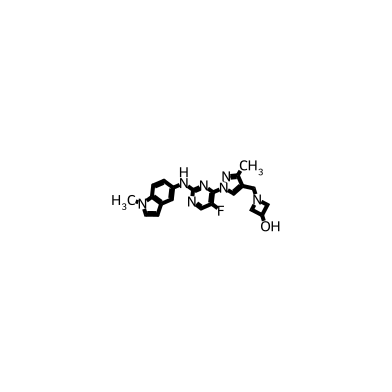 Cc1nn(-c2nc(Nc3ccc4c(ccn4C)c3)ncc2F)cc1CN1CC(O)C1